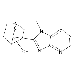 Cn1c(C2(O)CN3CCC2CC3)nc2ncccc21